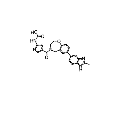 Cc1nc2cc(-c3ccc4c(c3)CN(C(=O)c3cnc(NC(=O)O)s3)CCO4)ccc2[nH]1